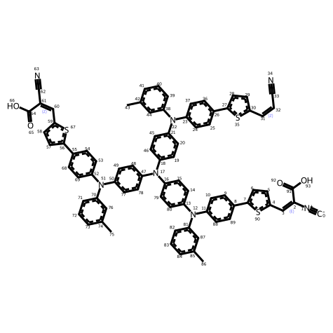 [C-]#[N+]/C(=C/c1ccc(-c2ccc(N(c3ccc(N(c4ccc(N(c5ccc(-c6ccc(/C=C\C#N)s6)cc5)c5cccc(C)c5)cc4)c4ccc(N(c5ccc(-c6ccc(/C=C(/C#N)C(=O)O)s6)cc5)c5cccc(C)c5)cc4)cc3)c3cccc(C)c3)cc2)s1)C(=O)O